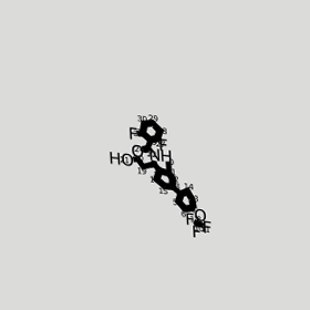 Cc1cc(-c2ccc(OC(F)(F)F)cc2)ccc1C(CCO)NC(=O)c1c(F)cccc1F